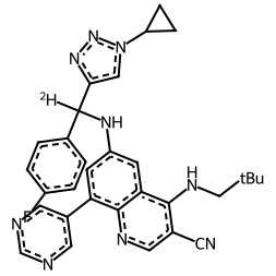 [2H]C(Nc1cc(-c2cncnc2)c2ncc(C#N)c(NCC(C)(C)C)c2c1)(c1ccc(F)cc1)c1cn(C2CC2)nn1